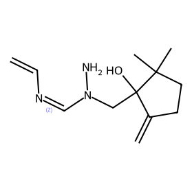 C=C/N=C\N(N)CC1(O)C(=C)CCC1(C)C